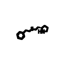 c1ccc(CCSCC[C@@H]2CCCN2)cc1